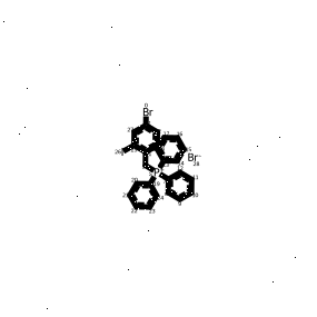 Brc1ccc(C[P+](c2ccccc2)(c2ccccc2)c2ccccc2)c(I)c1.[Br-]